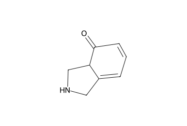 O=C1C=CC=C2CNCC12